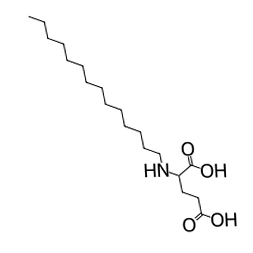 CCCCCCCCCCCCCCNC(CCC(=O)O)C(=O)O